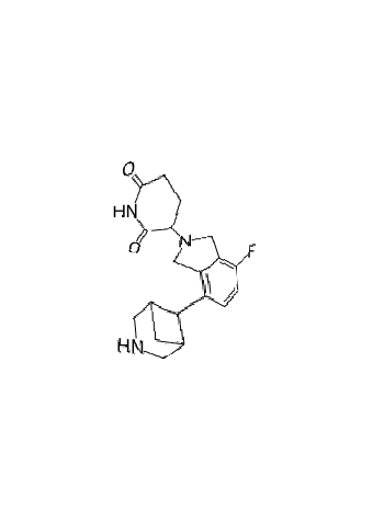 O=C1CCC(N2Cc3c(F)ccc(C4C5CNCC4C5)c3C2)C(=O)N1